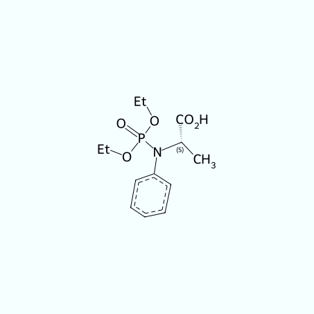 CCOP(=O)(OCC)N(c1ccccc1)[C@@H](C)C(=O)O